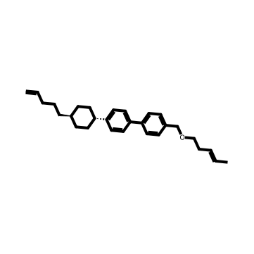 C=CCCC[C@H]1CC[C@H](c2ccc(-c3ccc(COCCC=CC)cc3)cc2)CC1